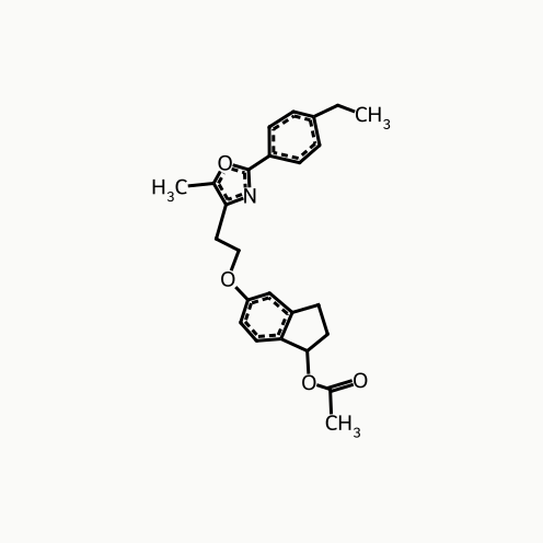 CCc1ccc(-c2nc(CCOc3ccc4c(c3)CCC4OC(C)=O)c(C)o2)cc1